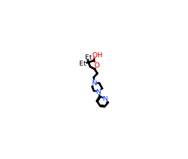 CCC1(CC)CC(CCN2CCN(c3ccccn3)CC2)OC1O